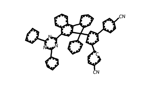 N#Cc1ccc(-c2cc(-c3ccc(C#N)cc3)cc(C3(c4ccccc4)c4ccccc4-c4c3cc(-c3nc(-c5ccccc5)nc(-c5ccccc5)n3)c3ccccc43)c2)cc1